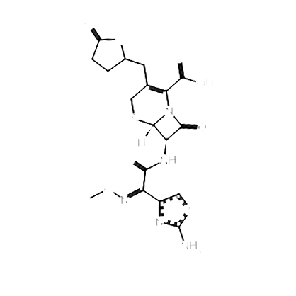 CO/N=C(\C(=O)N[C@@H]1C(=O)N2C(C(=O)O)=C(CC3CCC(=O)O3)CS[C@@H]12)c1csc(N)n1